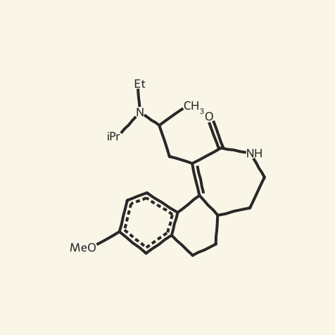 CCN(C(C)C)C(C)CC1=C2c3ccc(OC)cc3CCC2CCNC1=O